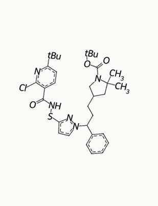 CC(C)(C)OC(=O)N1CC(CCC(c2ccccc2)n2ccc(SNC(=O)c3ccc(C(C)(C)C)nc3Cl)n2)CC1(C)C